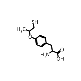 CC(CS)Oc1ccc(CC(N)C(=O)O)cc1